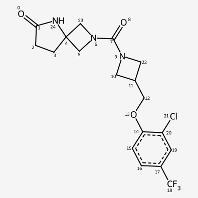 O=C1CCC2(CN(C(=O)N3CC(COc4ccc(C(F)(F)F)cc4Cl)C3)C2)N1